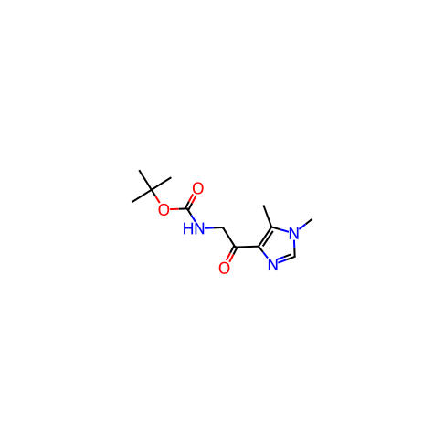 Cc1c(C(=O)CNC(=O)OC(C)(C)C)ncn1C